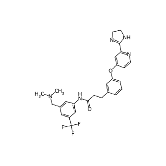 CN(C)Cc1cc(NC(=O)CCc2cccc(Oc3ccnc(C4=NCCN4)c3)c2)cc(C(F)(F)F)c1